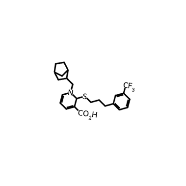 O=C(O)C1=CC=CN(CC2CC3CCC2C3)C1SCCCc1cccc(C(F)(F)F)c1